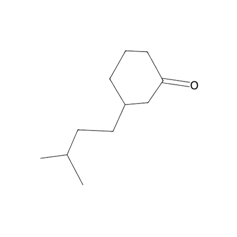 CC(C)CCC1CCCC(=O)C1